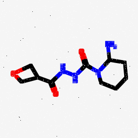 NC1CCCCN1C(=O)NNC(=O)C1COC1